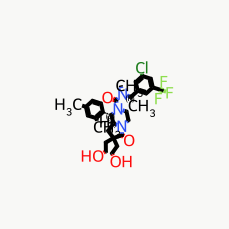 Cc1ccc([C@H]2[C@@H]3CC(CCO)(CCO)C(=O)N3CCN2C(=O)N(C)[C@H](C)c2cc(Cl)cc(C(F)(F)F)c2)c(C)c1